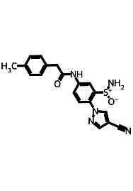 Cc1ccc(CC(=O)Nc2ccc(-n3cc(C#N)cn3)c([S+](N)[O-])c2)cc1